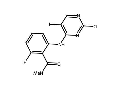 CNC(=O)c1c(F)cccc1Nc1nc(Cl)ncc1I